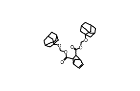 O=C(OCOC12CC3CC(CC(C3)C1)C2)C1C2C=CC(C2)C1C(=O)OCOC12CC3CC(CC(C3)C1)C2